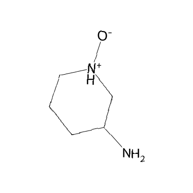 NC1CCC[NH+]([O-])C1